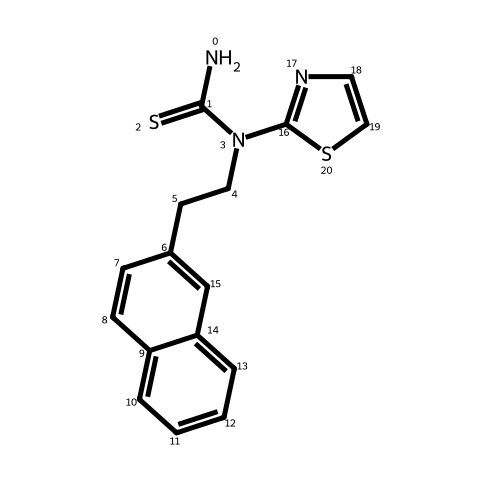 NC(=S)N(CCc1ccc2ccccc2c1)c1nccs1